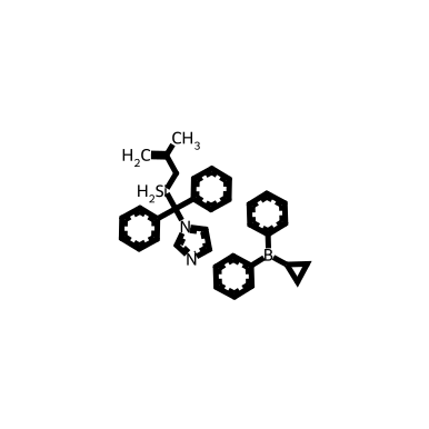 C=C(C)C[SiH2]C(c1ccccc1)(c1ccccc1)n1ccnc1.c1ccc(B(c2ccccc2)C2CC2)cc1